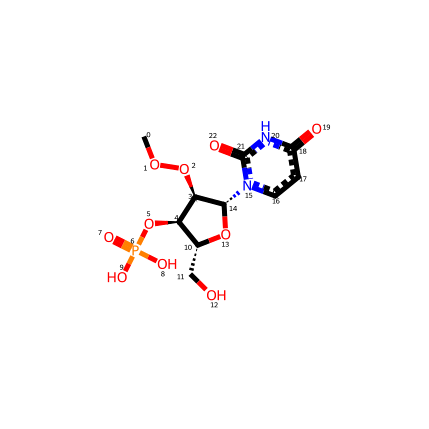 COO[C@@H]1[C@H](OP(=O)(O)O)[C@@H](CO)O[C@H]1n1ccc(=O)[nH]c1=O